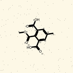 COC(=O)c1c(C(=O)O)cc(C)cc1C(=O)O